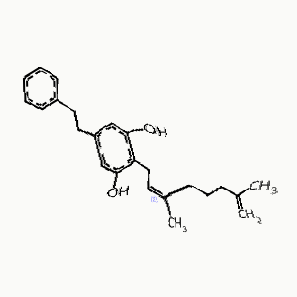 C=C(C)CCC/C(C)=C\Cc1c(O)cc(CCc2ccccc2)cc1O